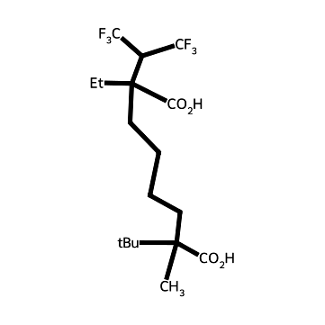 CCC(CCCCC(C)(C(=O)O)C(C)(C)C)(C(=O)O)C(C(F)(F)F)C(F)(F)F